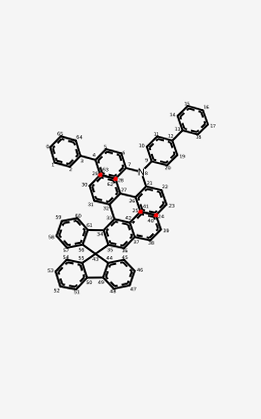 c1ccc(-c2ccc(N(c3ccc(-c4ccccc4)cc3)c3ccccc3-c3ccccc3-c3c4c(cc5ccccc35)C3(c5ccccc5-c5ccccc53)c3ccccc3-4)cc2)cc1